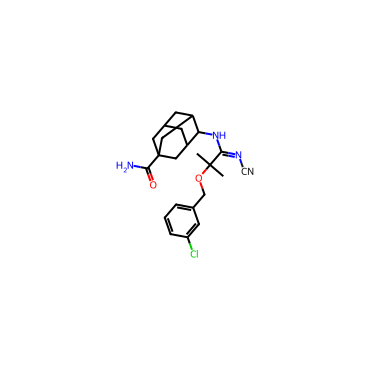 CC(C)(OCc1cccc(Cl)c1)/C(=N\C#N)NC1C2CC3CC1CC(C(N)=O)(C3)C2